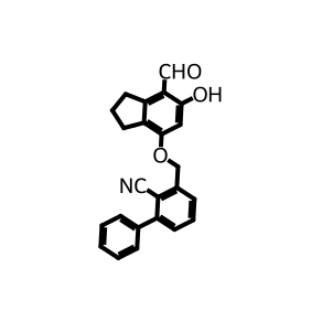 N#Cc1c(COc2cc(O)c(C=O)c3c2CCC3)cccc1-c1ccccc1